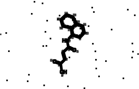 O=C(O)C=CC(=O)Nc1cccc2ccccc12